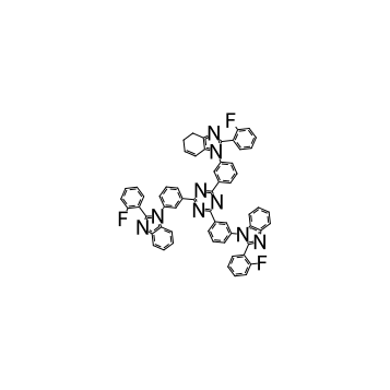 Fc1ccccc1-c1nc2c(n1-c1cccc(-c3nc(-c4cccc(-n5c(-c6ccccc6F)nc6ccccc65)c4)nc(-c4cccc(-n5c(-c6ccccc6F)nc6ccccc65)c4)n3)c1)C=CCC2